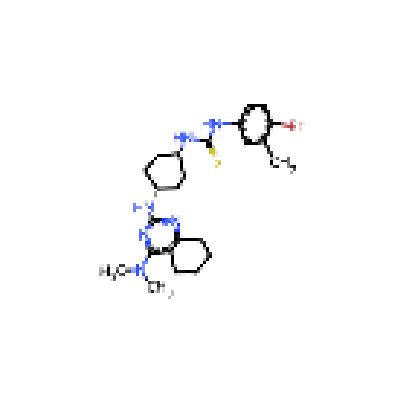 Cc1cc(NC(=S)N[C@H]2CC[C@@H](Nc3nc4c(c(N(C)C)n3)CCCC4)CC2)ccc1Br